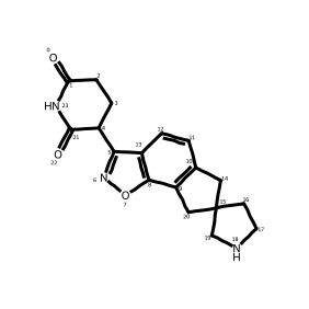 O=C1CCC(c2noc3c4c(ccc23)CC2(CCNC2)C4)C(=O)N1